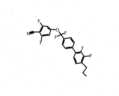 CCCc1ccc(-c2ccc(C(F)(F)Oc3cc(F)c(C#N)c(F)c3)cc2)c(F)c1F